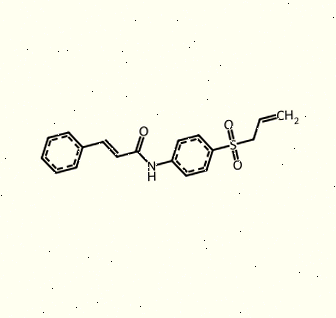 C=CCS(=O)(=O)c1ccc(NC(=O)C=Cc2ccccc2)cc1